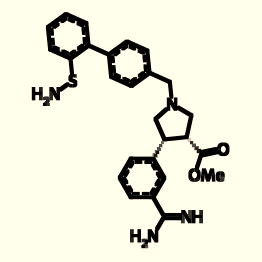 COC(=O)[C@H]1CN(Cc2ccc(-c3ccccc3SN)cc2)C[C@H]1c1cccc(C(=N)N)c1